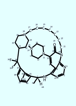 C[C@H]1Nc2ncnc3c2cc(N2CCN(C)CC2)c(=O)n3CCCCCCCN2CCC(CC2)C(F)(F)c2cccc1c2F